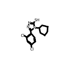 Sc1nnc(-c2ccc(Cl)cc2Cl)n1C1CCCCC1